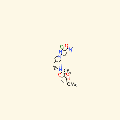 COc1cccc(C(O)(C(=O)NC2C[C@@H]2CC2CCN(c3ccc(C(=O)N(C)C)c(Cl)n3)CC2)C(F)(F)F)c1